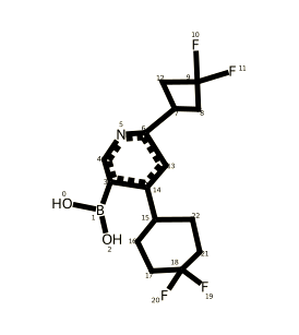 OB(O)c1cnc(C2CC(F)(F)C2)cc1C1CCC(F)(F)CC1